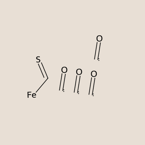 S=[CH][Fe].[C]=O.[C]=O.[C]=O.[C]=O